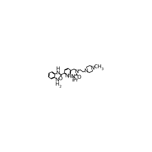 CC(C)NC(=O)N(CCN1CCN(C)CC1)Cc1ccc(C(=O)Nc2ccccc2N)nc1